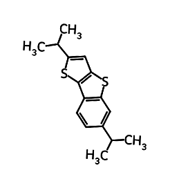 CC(C)c1ccc2c(c1)sc1cc(C(C)C)sc12